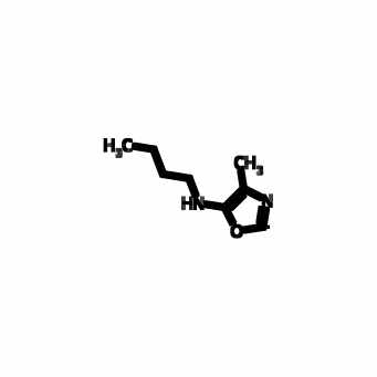 CCCCNc1o[c]nc1C